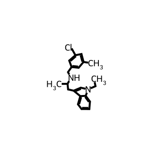 CCn1cc(CC(C)NCc2cc(C)cc(Cl)c2)c2ccccc21